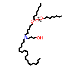 CC/C=C\C/C=C\C/C=C\C/C=C\C/C=C\CCCCN(CCCCO)CCCCCCOC(CCCCCCC)O[Si](C)(C)OCCCCCCCC